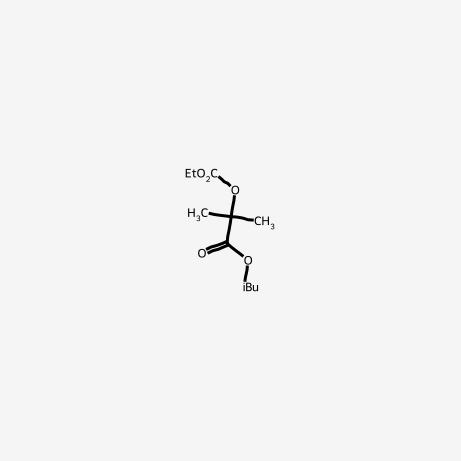 CCOC(=O)OC(C)(C)C(=O)OC(C)CC